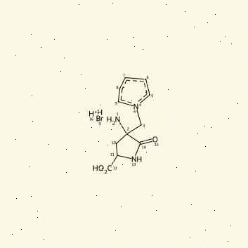 Br.NC1(C[n+]2ccccc2)CC(C(=O)O)NC1=O.[H+]